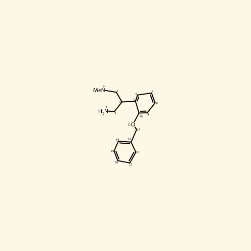 CNCC(CN)c1ccccc1OCc1ccccc1